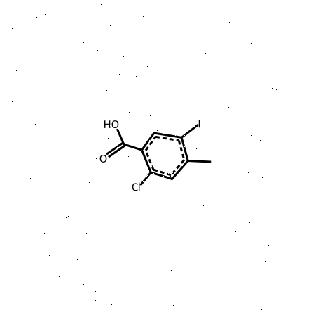 Cc1cc(Cl)c(C(=O)O)cc1I